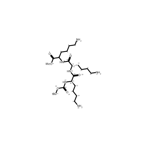 COC(=O)C(CCCCN)NC(=O)[C@H](CCCCN)NC(=O)[C@@H](CCCCN)NC(=O)OC(C)(C)C